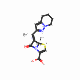 O=C([O-])C1=CS[C@@H]2/C(=C\c3cc4n(n3)CCCC4)C(=O)N12.[Na+]